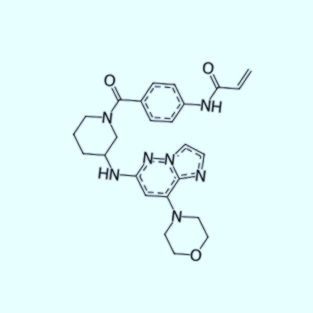 C=CC(=O)Nc1ccc(C(=O)N2CCCC(Nc3cc(N4CCOCC4)c4nccn4n3)C2)cc1